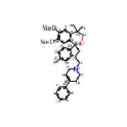 COc1cc2c(cc1OC)C(CCCN1CC=C(c3ccccc3)CC1)(c1ccc(F)cc1)OCC2(C)C